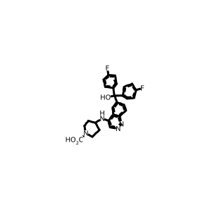 O=C(O)N1CCC(Nc2cnnc3ccc(C(O)(c4ccc(F)cc4)c4ccc(F)cc4)cc23)CC1